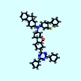 CC1(C)c2ccccc2-c2ccc(N(c3ccc4c(c3)oc3cc(-c5nc(-c6ccccc6)nc(-c6ccccc6)n5)ccc34)c3ccc4c(c3)sc3ccccc34)cc21